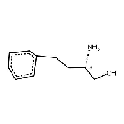 N[C@H](CO)CCc1ccccc1